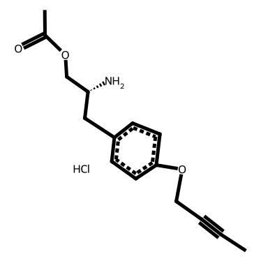 CC#CCOc1ccc(C[C@@H](N)COC(C)=O)cc1.Cl